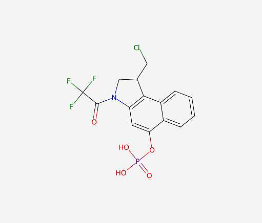 O=C(N1CC(CCl)c2c1cc(OP(=O)(O)O)c1ccccc21)C(F)(F)F